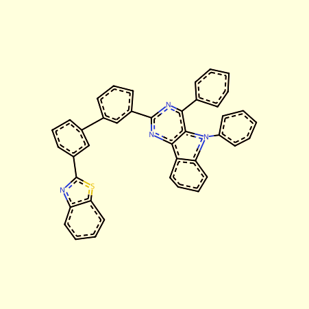 c1ccc(-c2nc(-c3cccc(-c4cccc(-c5nc6ccccc6s5)c4)c3)nc3c4ccccc4n(-c4ccccc4)c23)cc1